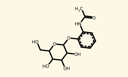 CC(=O)Nc1ccccc1OC1OC(CO)C(O)C(O)C1O